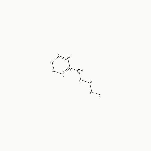 CCCCOC1=CCCC=C1